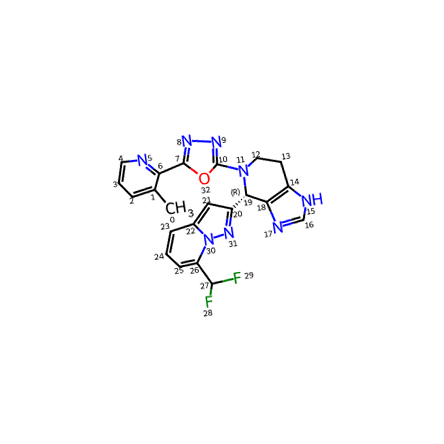 Cc1cccnc1-c1nnc(N2CCc3[nH]cnc3[C@@H]2c2cc3cccc(C(F)F)n3n2)o1